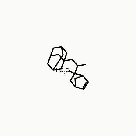 CC(CC12CC3CC(CC(C3)C1)C2)C1(C(=O)O)CC2C=CC1C2